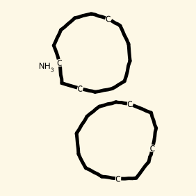 C1CCCCCCCCCCCCC1.C1CCCCCCCCCCCCC1.N